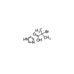 CC(C)(Br)C(=O)O.c1c[nH]cn1